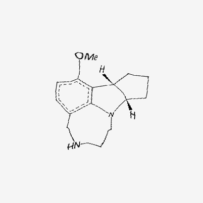 COc1ccc2c3c1[C@@H]1CCC[C@@H]1N3CCNC2